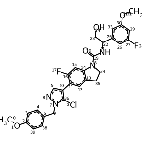 COc1ccc(Cn2ncc(-c3cc4c(cc3F)N(C(=O)NC(CO)c3cc(F)cc(OC)c3)CC4)c2Cl)cc1